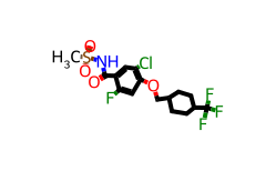 CS(=O)(=O)NC(=O)c1cc(Cl)c(OCC2CCC(C(F)(F)F)CC2)cc1F